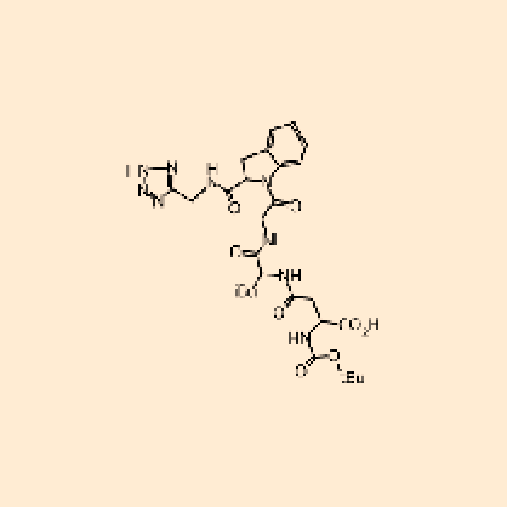 CCC(C)C(NC(=O)CC(NC(=O)OC(C)(C)C)C(=O)O)C(=O)NCC(=O)N1c2ccccc2CC1C(=O)NCc1nn[nH]n1